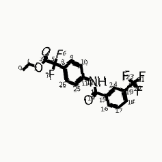 CCOC(=O)C(F)(F)c1ccc(NC(=O)c2cccc(C(F)(F)F)c2)cc1